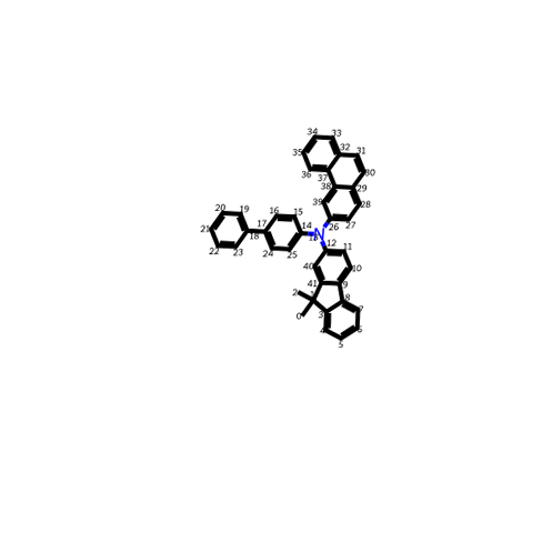 CC1(C)c2ccccc2-c2ccc(N(c3ccc(-c4ccccc4)cc3)c3ccc4ccc5ccccc5c4c3)cc21